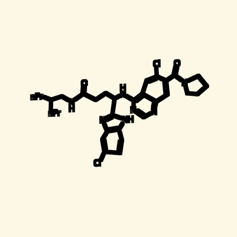 CCCC(CCC)CNC(=O)CCC(Nc1ncnc2cc(C(=O)N3CCCC3)c(Cl)cc12)c1nc2cc(Cl)ccc2[nH]1